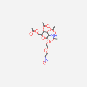 CC(=O)NC1C(OCCOCCN=O)OC(COC(C)=O)C(OC(C)=O)C1OC(C)=O